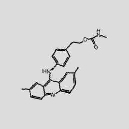 CNC(=O)OCCc1ccc(Nc2c3cc(C)ccc3nc3ccc(C)cc23)cc1